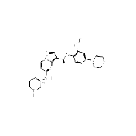 CCOc1cc(N2CCOCC2)ccc1NC(=O)c1cnn2ccc(N[C@@H]3CCCNC3)nc12